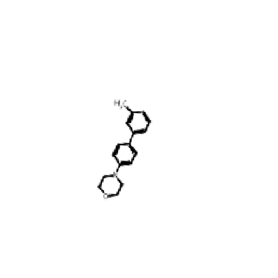 [CH2]c1cccc(-c2ccc(N3CCOCC3)cc2)c1